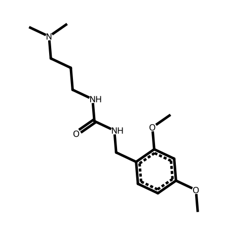 COc1ccc(CNC(=O)NCCCN(C)C)c(OC)c1